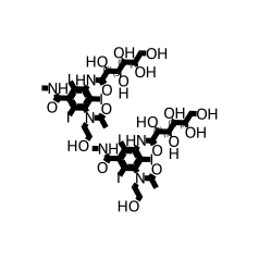 CNC(=O)c1c(I)c(NC(=O)[C@H](O)[C@@H](O)[C@H](O)[C@H](O)CO)c(I)c(N(CCO)C(C)=O)c1I.CNC(=O)c1c(I)c(NC(=O)[C@H](O)[C@@H](O)[C@H](O)[C@H](O)CO)c(I)c(N(CCO)C(C)=O)c1I